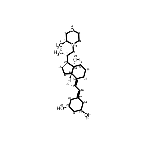 C[C@H](CN1CCOC[C@@H]1C)[C@H]1CC[C@H]2/C(=C/C=C3C[C@@H](O)C[C@H](O)C3)CCC[C@]12C